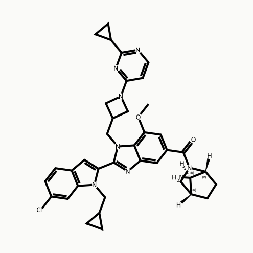 COc1cc(C(=O)N2C[C@H]3CC[C@@H]2[C@@H]3N)cc2nc(-c3cc4ccc(Cl)cc4n3CC3CC3)n(CC3CN(c4ccnc(C5CC5)n4)C3)c12